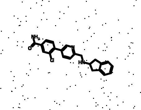 NC(=O)c1ccc(-c2ccc(CNC3Cc4ccccc4C3)nc2)c(Cl)c1